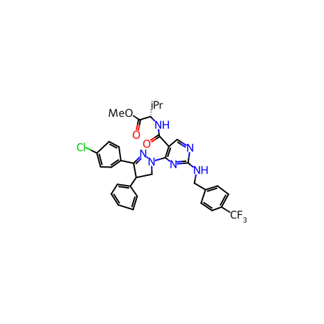 COC(=O)[C@@H](NC(=O)c1cnc(NCc2ccc(C(F)(F)F)cc2)nc1N1CC(c2ccccc2)C(c2ccc(Cl)cc2)=N1)C(C)C